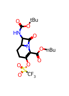 CCCCOC(=O)C1=C(OS(=O)(=O)C(F)(F)F)CCC2C(NC(=O)OC(C)(C)C)C(=O)N12